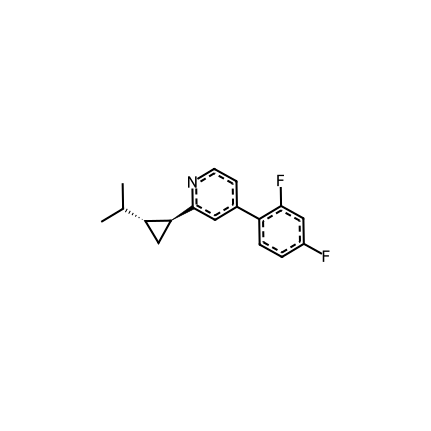 CC(C)[C@H]1C[C@@H]1c1cc(-c2ccc(F)cc2F)ccn1